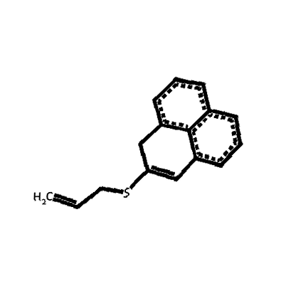 C=CCSC1=Cc2cccc3cccc(c23)C1